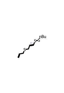 C=CCSC/C=C/SSCCCC